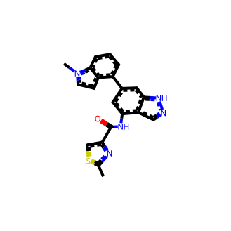 Cc1nc(C(=O)Nc2cc(-c3cccc4c3ccn4C)cc3[nH]ncc23)cs1